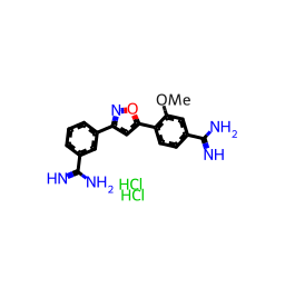 COc1cc(C(=N)N)ccc1-c1cc(-c2cccc(C(=N)N)c2)no1.Cl.Cl